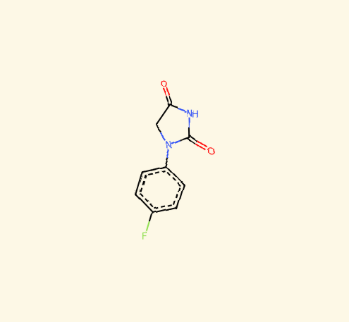 O=C1CN(c2ccc(F)cc2)C(=O)N1